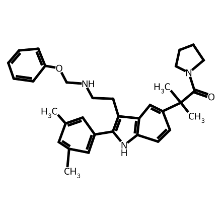 Cc1cc(C)cc(-c2[nH]c3ccc(C(C)(C)C(=O)N4CCCC4)cc3c2CCNCOc2ccccc2)c1